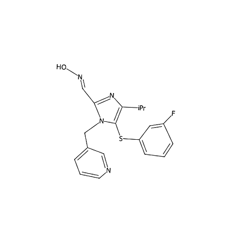 CC(C)c1nc(C=NO)n(Cc2cccnc2)c1Sc1cccc(F)c1